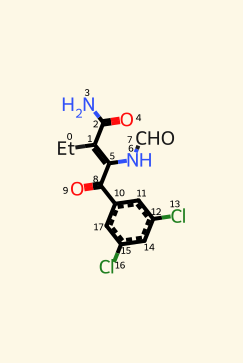 CC/C(C(N)=O)=C(/NC=O)C(=O)c1cc(Cl)cc(Cl)c1